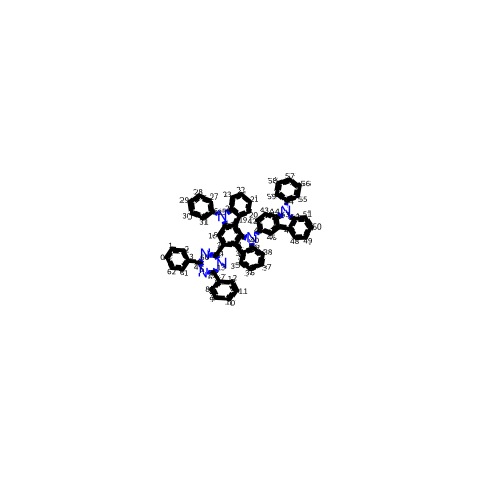 c1ccc(-c2nc(-c3ccccc3)nc(-c3cc4c(c5ccccc5n4-c4ccccc4)c4c3c3ccccc3n4-c3ccc4c(c3)c3ccccc3n4-c3ccccc3)n2)cc1